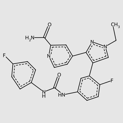 CCn1cc(-c2cc(NC(=O)Nc3ccc(F)cc3)ccc2F)c(-c2ccnc(C(N)=O)c2)n1